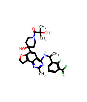 Cc1nc(NC(C)c2cccc(C(F)F)c2F)c2cc(C3(O)CCN(C(=O)C(C)(C)O)CC3)c3c(c2n1)CCO3